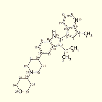 CC(C)c1c(-c2cn(C)c3ncccc23)[nH]c2ccc(C3CCN(C4CCOCC4)CC3)cc12